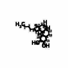 CCCCc1cc2c(s1)CN[C@@H]1CCc3cc(O)c(O)cc3[C@@H]21